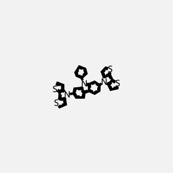 c1ccc(-n2c3cc(-n4c5ccsc5c5sccc54)ccc3c3ccc(-n4c5ccsc5c5sccc54)cc32)cc1